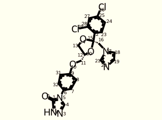 O=c1[nH]ncn1-c1ccc(OC[C@@H]2CO[C@@](Cn3ccnc3)(c3ccc(Cl)cc3Cl)O2)cc1